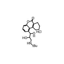 CC(C)(C)NCC(O)C(O)c1cccc2oc(=O)c3c(c12)CCCC3.Cl